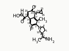 Cc1c(N2CC[C@@H]([C@H](C)N)C2)c(F)cc2c(C(=O)NO)cc(=O)n(C3CC3)c12